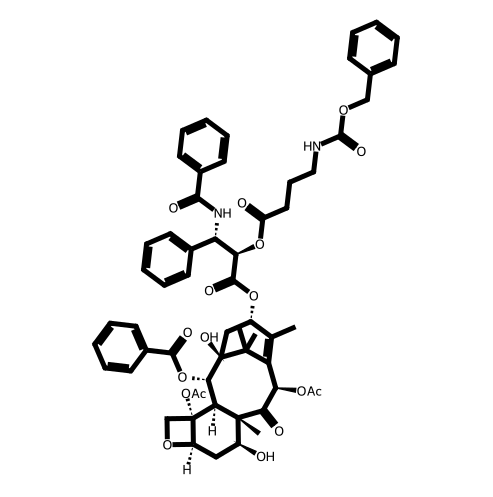 CC(=O)O[C@H]1C(=O)[C@@]2(C)[C@H]([C@H](OC(=O)c3ccccc3)[C@]3(O)C[C@H](OC(=O)[C@H](OC(=O)CCCNC(=O)OCc4ccccc4)[C@@H](NC(=O)c4ccccc4)c4ccccc4)C(C)=C1C3(C)C)[C@]1(OC(C)=O)CO[C@@H]1C[C@@H]2O